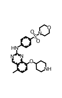 Cc1ccc(OC2CCNCC2)c2nc(Nc3ccc(S(=O)(=O)N4CCOCC4)cc3)ncc12